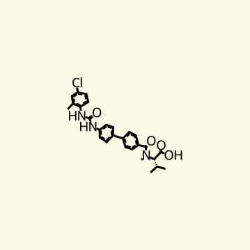 Cc1cc(Cl)ccc1NC(=O)Nc1ccc(-c2ccc(C(=O)N(C)[C@H](C(=O)O)C(C)C)cc2)cc1